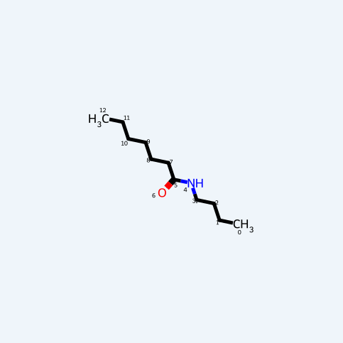 CCC[CH]NC(=O)CCCCCC